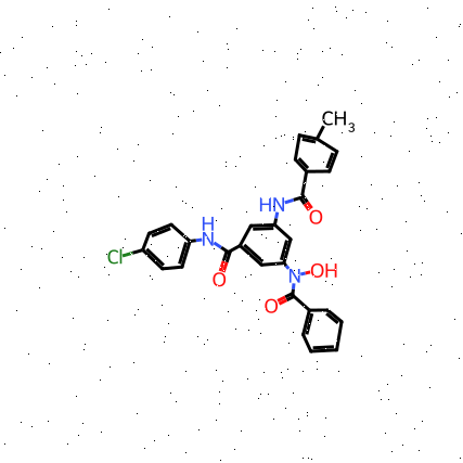 Cc1ccc(C(=O)Nc2cc(C(=O)Nc3ccc(Cl)cc3)cc(N(O)C(=O)c3ccccc3)c2)cc1